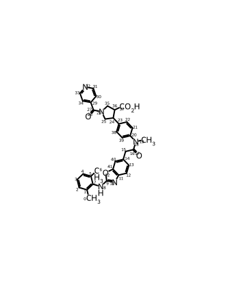 Cc1cccc(C)c1Nc1nc2ccc(CC(=O)N(C)c3ccc(C4CN(C(=O)c5ccncc5)CC4C(=O)O)cc3)cc2o1